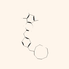 O=C(Cc1ccc(CC2CCCCCCCCC2)cc1)Oc1c(F)c(F)cc(F)c1F